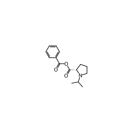 CC(C)N1CCC[C@H]1C(=O)OC(=O)c1ccccc1